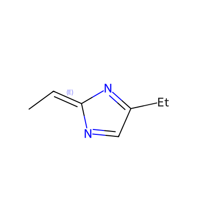 C/C=C1\N=CC(CC)=N1